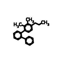 CCCc1ccc(-c2ccccc2-c2ccccc2)c(C)c1C